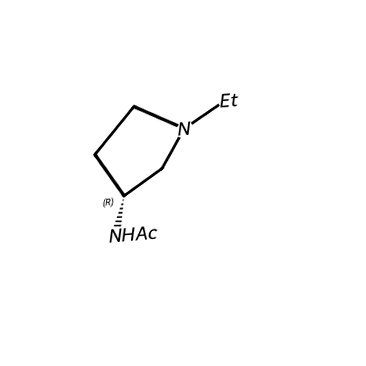 CCN1CC[C@@H](NC(C)=O)C1